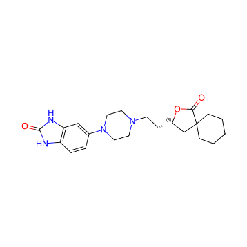 O=C1O[C@@H](CCN2CCN(c3ccc4[nH]c(=O)[nH]c4c3)CC2)CC12CCCCC2